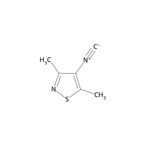 [C-]#[N+]c1c(C)nsc1C